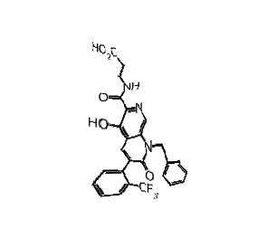 O=C(O)CCNC(=O)c1ncc2c(cc(-c3ccccc3C(F)(F)F)c(=O)n2Cc2ccccc2)c1O